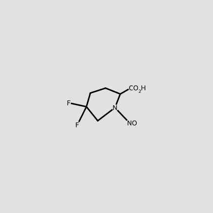 O=NN1CC(F)(F)CCC1C(=O)O